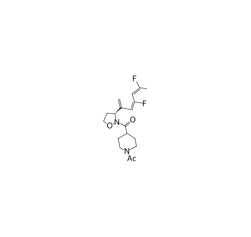 C=C(/C=C(F)\C=C(/C)F)[C@@H]1CCON1C(=O)C1CCN(C(C)=O)CC1